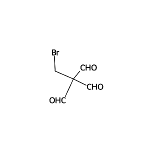 O=CC(C=O)(C=O)CBr